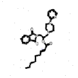 CCCCCC/C=C/C(=O)OC(CN1CCN(c2ccccn2)CC1)CN1C(=O)c2ccccc2C1=O